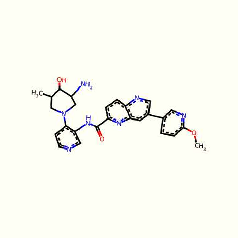 COc1ccc(-c2cnc3ccc(C(=O)Nc4cnccc4N4CC(C)C(O)C(N)C4)nc3c2)cn1